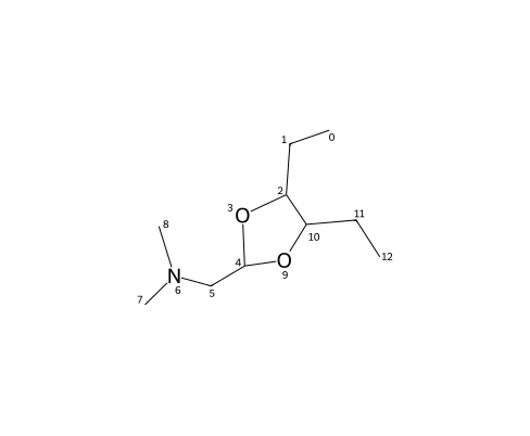 CCC1OC(CN(C)C)OC1CC